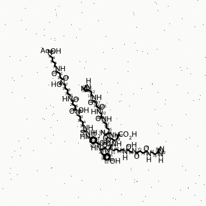 CC(=O)N(O)CCCCCNC(=O)CCC(=O)N(O)CCCCCNC(=O)CCC(=O)N(O)CCCCCNC(=S)NNc1ccc(C(=O)N[C@H](Cc2ccc(O)cc2)C(=O)N[C@H](CCCCNC(=O)CNC(=O)CCC(=O)NCCc2cnc[nH]2)C(=O)N[C@H](CCC(=O)O)C(=O)N[C@H](CCCCNC(=O)CNC(=O)CCC(=O)NCCc2cnc[nH]2)C(N)=O)cc1